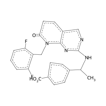 CC(Nc1ncc2ccc(=O)n(Cc3c(F)cccc3F)c2n1)c1ccc(C(=O)O)cc1